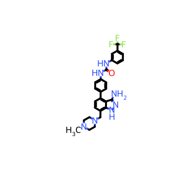 CN1CCN(Cc2ccc(-c3ccc(NC(=O)Nc4cccc(C(F)(F)F)c4)cc3)c3c(N)n[nH]c23)CC1